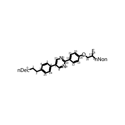 CCCCCCCCCCCCc1ccc(-c2cnc(-c3ccc(OCC(F)CCCCCCCCC)cc3)nc2)cc1